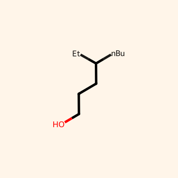 CCCCC(CC)CCCO